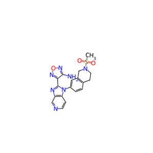 CS(=O)(=O)N1CCc2ccc(-n3c(-c4nonc4N)nc4cnccc43)cc2C1